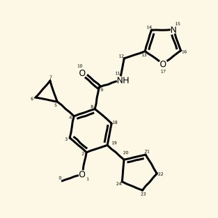 COc1cc(C2CC2)c(C(=O)NCc2cnco2)cc1C1=CCCC1